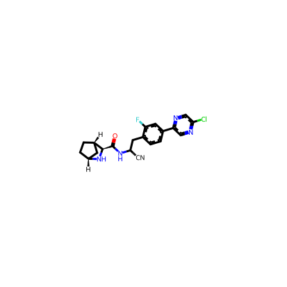 N#CC(Cc1ccc(-c2cnc(Cl)cn2)cc1F)NC(=O)[C@H]1N[C@@H]2CC[C@H]1C2